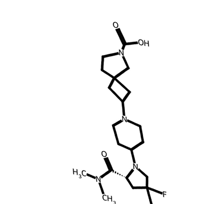 CN(C)C(=O)[C@H]1CC(F)(F)CN1C1CCN(C2CC3(CCN(C(=O)O)C3)C2)CC1